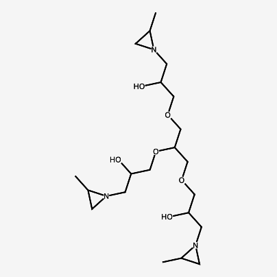 CC1CN1CC(O)COCC(COCC(O)CN1CC1C)OCC(O)CN1CC1C